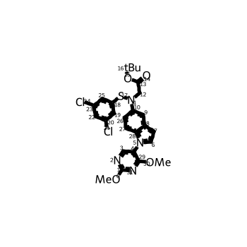 COc1ncc(-n2ccc3cc(N(CC(=O)OC(C)(C)C)Sc4cc(Cl)cc(Cl)c4)ccc32)c(OC)n1